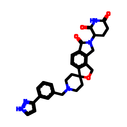 O=C1CCC(N2Cc3c(ccc4c3COC43CCN(Cc4cccc(-c5cc[nH]n5)c4)CC3)C2=O)C(=O)N1